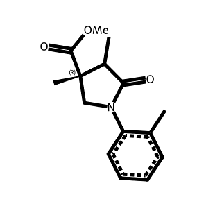 COC(=O)[C@@]1(C)CN(c2ccccc2C)C(=O)C1C